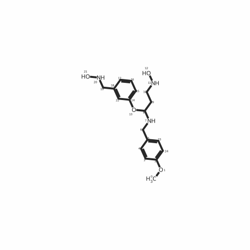 COc1ccc(CNC(CCNO)Oc2cccc(CNO)c2)cc1